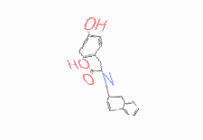 O=C(O)C(Cc1ccc(O)cc1)N=Cc1ccc2ccccc2c1